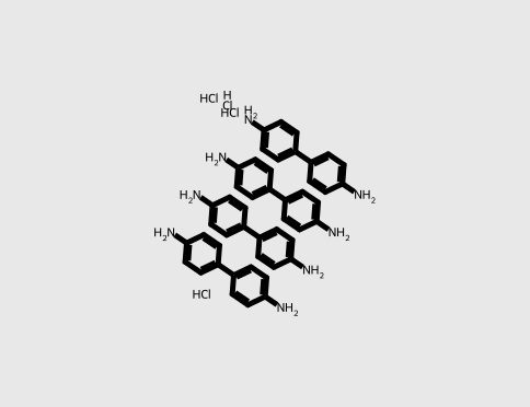 Cl.Cl.Cl.Cl.Nc1ccc(-c2ccc(N)cc2)cc1.Nc1ccc(-c2ccc(N)cc2)cc1.Nc1ccc(-c2ccc(N)cc2)cc1.Nc1ccc(-c2ccc(N)cc2)cc1